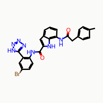 Cc1ccc(CC(=O)Nc2cccc3cc(C(=O)Nc4ccc(Br)cc4-c4nnn[nH]4)[nH]c23)cc1